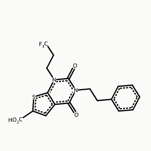 O=C(O)c1cc2c(=O)n(CCc3ccccc3)c(=O)n(CCC(F)(F)F)c2s1